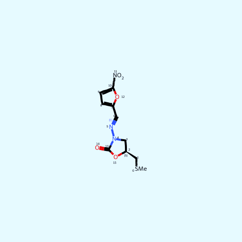 CSC[C@@H]1CN(/N=C/c2ccc([N+](=O)[O-])o2)C(=O)O1